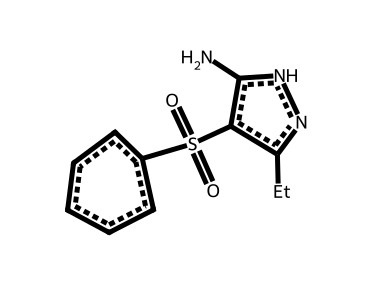 CCc1n[nH]c(N)c1S(=O)(=O)c1ccccc1